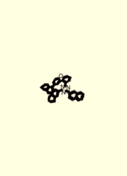 C1=Cc2cc(-c3nc(-c4ccc5ccccc5c4)nc(-c4cccc5oc6ccc(-c7cccc8ccccc78)cc6c45)n3)ccc2CC1